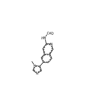 Cn1cncc1-c1ccc2cnc(NC=O)cc2c1